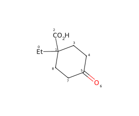 CCC1(C(=O)O)CCC(=O)CC1